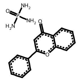 NP(N)(N)=O.O=c1cc(-c2ccccc2)oc2ccccc12